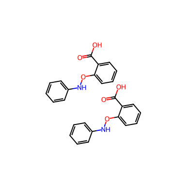 O=C(O)c1ccccc1ONc1ccccc1.O=C(O)c1ccccc1ONc1ccccc1